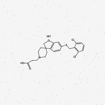 Cl.O=C(O)CCN1CCC2(CC1)COc1cc(SCc3c(Cl)cccc3Cl)ccc12